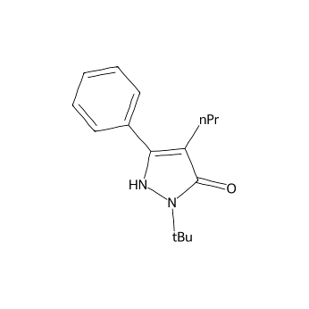 CCCc1c(-c2ccccc2)[nH]n(C(C)(C)C)c1=O